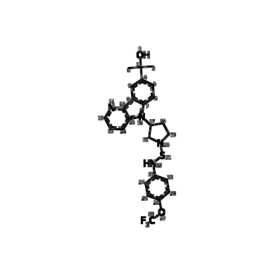 CC(C)(O)c1ccc2c(c1)c1ncccc1n2C1CCN(SNc2ccc(OC(F)(F)F)cc2)C1